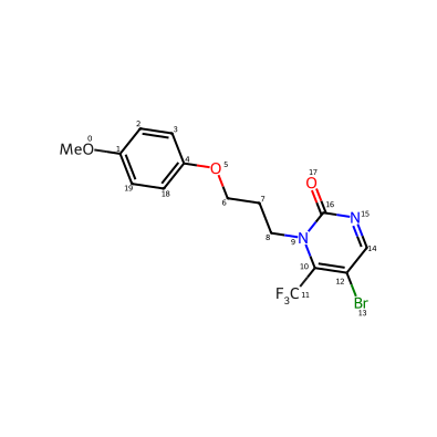 COc1ccc(OCCCn2c(C(F)(F)F)c(Br)cnc2=O)cc1